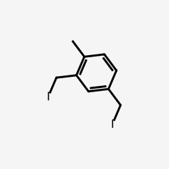 Cc1ccc(CI)cc1CI